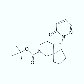 CC(C)(C)OC(=O)N1CC[C@H](Cn2ncccc2=O)C2(CCCC2)C1